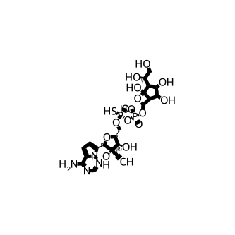 C#C[C@@]1(O)[C@H](O)[C@@H](COP(=O)(S)OP(=O)(O)OC2OC3(O)C2C(O)C(O)C3[C@@H](O)CO)O[C@H]1c1ccc2c(N)ncnn12